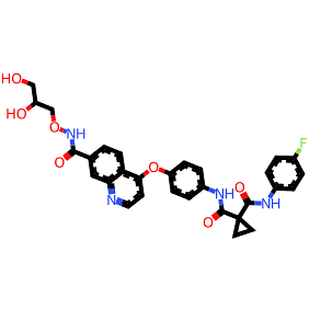 O=C(NOCC(O)CO)c1ccc2c(Oc3ccc(NC(=O)C4(C(=O)Nc5ccc(F)cc5)CC4)cc3)ccnc2c1